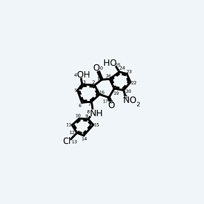 O=C1c2c(O)ccc(Nc3ccc(Cl)cc3)c2C(=O)c2c([N+](=O)[O-])ccc(O)c21